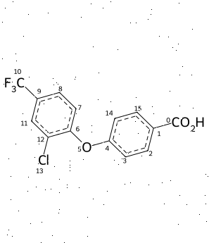 O=C(O)c1ccc(Oc2ccc(C(F)(F)F)cc2Cl)cc1